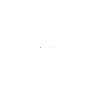 CC(=O)Nc1ccccc1-c1cc2c(c(C(=O)O)c1)OCCO2